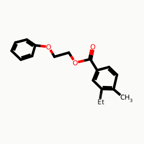 CCc1cc(C(=O)OCCOc2ccccc2)ccc1C